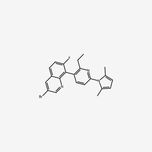 CCc1nc(-n2c(C)ccc2C)ccc1-c1c(F)ccc2cc(Br)cnc12